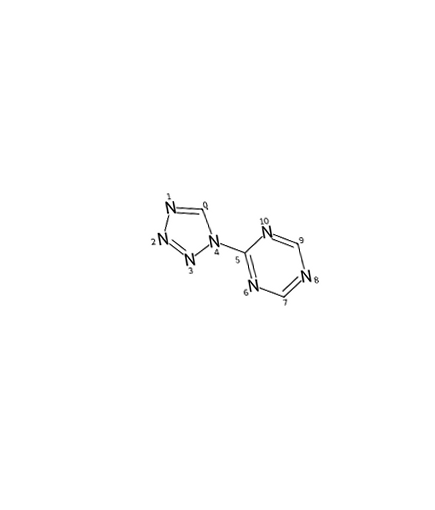 [c]1nnnn1-c1ncncn1